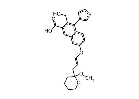 COC1(CC=COc2ccc3c(-c4ccsc4)c(CO)c(C(=O)O)cc3c2)CCCCO1